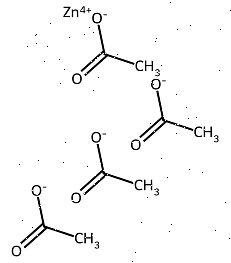 CC(=O)[O-].CC(=O)[O-].CC(=O)[O-].CC(=O)[O-].[Zn+4]